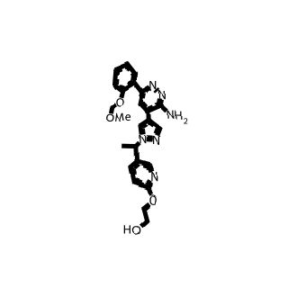 COCOc1ccccc1-c1cc(-c2cnn(C(C)c3ccc(OCCO)nc3)c2)c(N)nn1